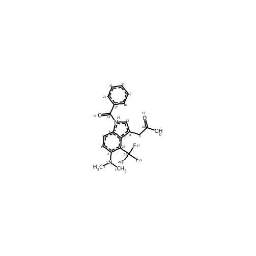 CN(C)c1ccc2c(c(CC(=O)O)cn2C(=O)c2ccccc2)c1C(F)(F)F